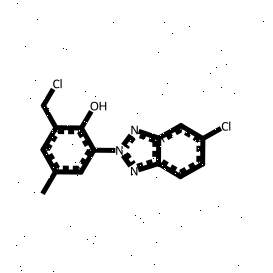 Cc1cc(CCl)c(O)c(-n2nc3ccc(Cl)cc3n2)c1